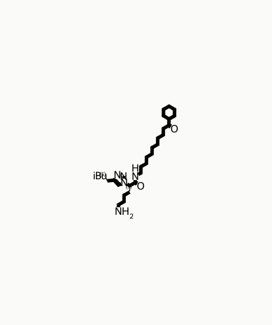 CC[C@H](C)Cc1cn([C@@H](CCCCN)C(=O)NCCCCCCCCCCC(=O)C2CCCCC2)nn1